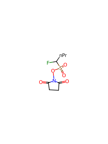 CCCC(F)S(=O)(=O)ON1C(=O)CCC1=O